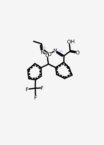 C/C=N/OC(c1cccc(C(F)(F)F)c1)c1ccccc1/C(=N\OC)C(=O)O